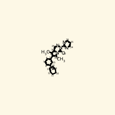 Cc1c(-c2cccc(N3C4CCC3CC4)c2)c(C)n2c(=O)n(-c3ncccn3)ncc12